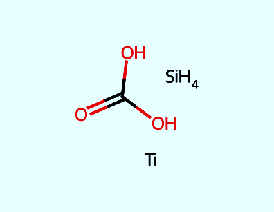 O=C(O)O.[SiH4].[Ti]